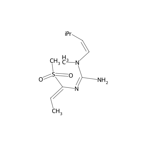 C/C=C(\N=C(\N)N(C)/C=C\C(C)C)S(C)(=O)=O